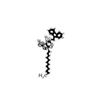 CCCCCCCCCCCCNC(=O)[C@H](BC(=O)O)NC(=O)OCC1c2ccccc2-c2ccccc21